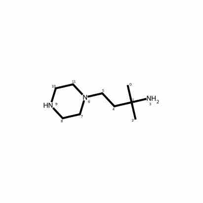 CC(C)(N)CCN1CCNCC1